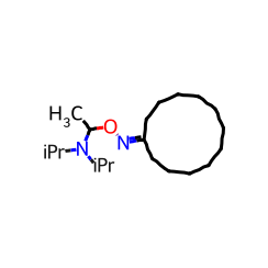 CC(C)N(C(C)C)C(C)ON=C1CCCCCCCCCCC1